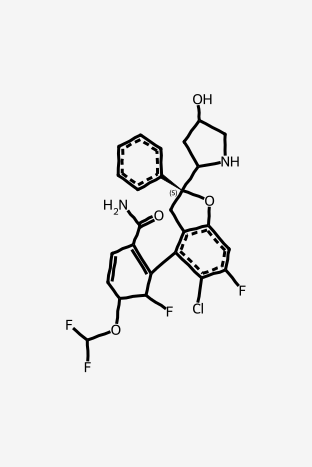 NC(=O)C1=C(c2c(Cl)c(F)cc3c2C[C@](c2ccccc2)(C2CC(O)CN2)O3)C(F)C(OC(F)F)C=C1